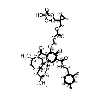 CC1=NO[C@@]2(CC[C@H](C)N3C[C@H]2n2cc(C(=O)NCc4ccc(F)cc4F)c(=O)c(OCOC(=O)OCC4(COP(=O)(O)O)CC4)c2C3=O)C1